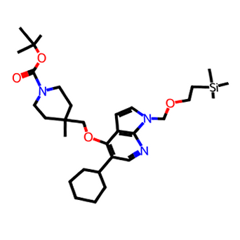 CC1(COc2c(C3CCCCC3)cnc3c2ccn3COCC[Si](C)(C)C)CCN(C(=O)OC(C)(C)C)CC1